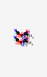 CCc1cc(NC(=O)C(C)(O)COc2ccc(C#N)c(F)c2)ccc1[N+](=O)[O-].CCc1cc(NC(=O)C(C)(O)COc2ccc(C#N)c(F)c2)ccc1[N+](=O)[O-]